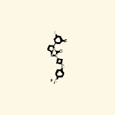 O=c1n2c(nn1[C@H]1C[C@H](Oc3ccc(C(F)(F)F)cc3)C1)CC[C@H]2c1cc(F)cc(F)c1